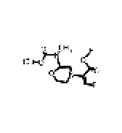 CN(C(=O)OC(C)(C)C)C1CN(C(=CF)C(=O)OF)CCO1